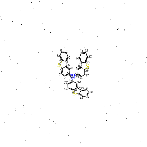 c1ccc2c(c1)sc1ccc(N(c3ccc4sc5ccccc5c4c3)c3ccc4sc5ccccc5c4c3)cc12